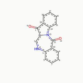 O=c1c2c[nH]c3ccccc3c(=O)n-2c2ccccc12